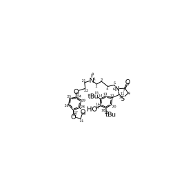 CN(CCCCN1C(=O)CSC1c1cc(C(C)(C)C)c(O)c(C(C)(C)C)c1)CCOc1ccc2c(c1)OCO2